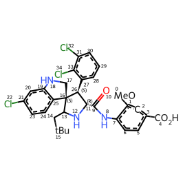 COc1cc(C(=O)O)ccc1NC(=O)[C@@H]1NC(CC(C)(C)C)[C@@]2(CNc3cc(Cl)ccc32)[C@H]1c1cccc(Cl)c1Cl